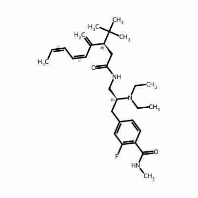 C=C(/C=C\C=C/C)[C@H](CC(=O)NC[C@H](Cc1ccc(C(=O)NC)c(F)c1)N(CC)CC)C(C)(C)C